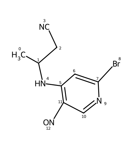 CC(CC#N)Nc1cc(Br)ncc1N=O